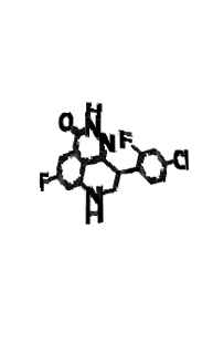 O=c1[nH]nc2c3c(cc(F)cc13)NC[C@@H]2c1ccc(Cl)cc1F